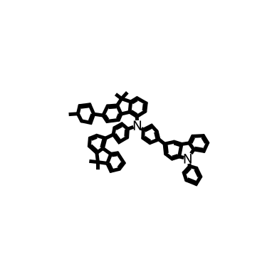 CC1C=CC(c2ccc3c(c2)C(C)(C)c2cccc(N(c4ccc(-c5ccc6c(c5)c5ccccc5n6-c5ccccc5)cc4)c4ccc(-c5cccc6c5-c5ccccc5C6(C)C)cc4)c2-3)=CC1